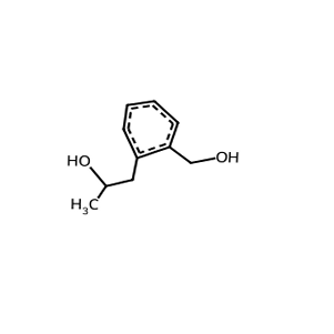 CC(O)Cc1ccccc1CO